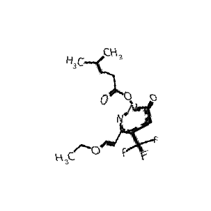 CCO/C=C/c1nn(OC(=O)CCC(C)C)c(=O)cc1C(F)(F)F